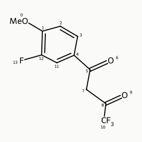 COc1ccc(C(=O)CC(=O)C(F)(F)F)cc1F